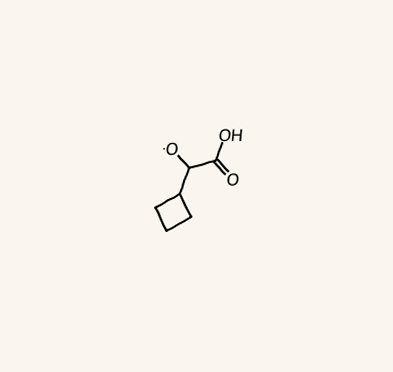 [O]C(C(=O)O)C1CCC1